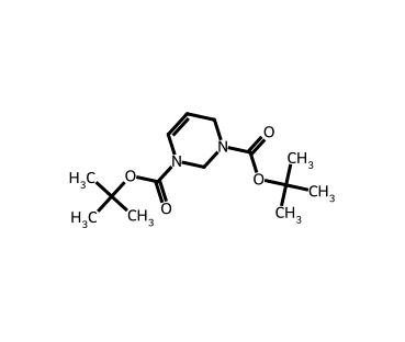 CC(C)(C)OC(=O)N1C=CCN(C(=O)OC(C)(C)C)C1